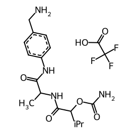 CC(NC(=O)C(OC(N)=O)C(C)C)C(=O)Nc1ccc(CN)cc1.O=C(O)C(F)(F)F